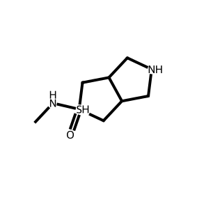 CN[SH]1(=O)CC2CNCC2C1